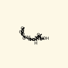 C=CCn1c(=O)c2cnc(Nc3ccc(N4CCN(CCCNC(=O)C=Cc5ccc(N6CCN(C(=O)C=C)CC6=O)o5)CC4)cc3)nc2n1-c1cccc(C(C)(C)O)n1